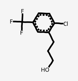 OCCCc1cc(C(F)(F)F)ccc1Cl